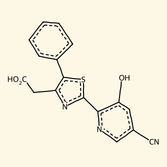 N#Cc1cnc(-c2nc(CC(=O)O)c(-c3ccccc3)s2)c(O)c1